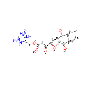 N/N=C(/COC(=O)CC(=O)c1cc2c(o1)C(=O)c1ccccc1C2=O)NN